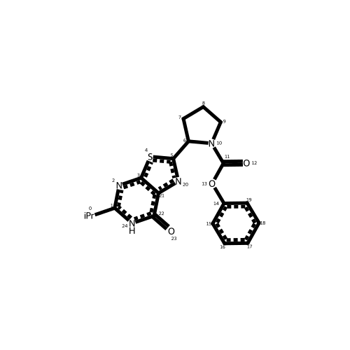 CC(C)c1nc2sc(C3CCCN3C(=O)Oc3ccccc3)nc2c(=O)[nH]1